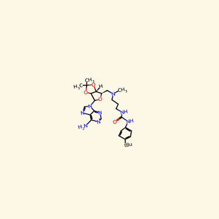 CN(CCCNC(=O)Nc1ccc(C(C)(C)C)cc1)C[C@H]1OC(n2cnc3c(N)ncnc32)C2OC(C)(C)O[C@@H]21